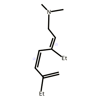 C=C(/C=C\C(=C/CN(C)C)CC)CC